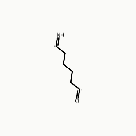 N=[C]CCCC[C]=O